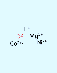 [Co+2].[Li+].[Mg+2].[Ni+2].[O-2]